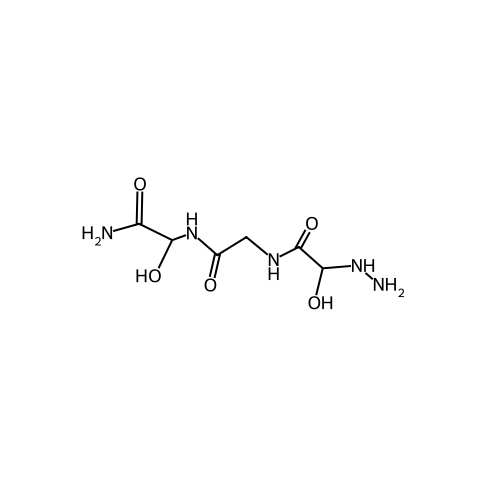 NNC(O)C(=O)NCC(=O)NC(O)C(N)=O